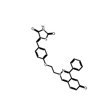 O=C1NC(=O)C(=Cc2ccc(OCCn3cc4ccc(=O)cc-4c(-c4ccccc4)n3)cc2)S1